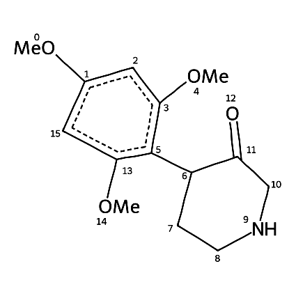 COc1cc(OC)c(C2CCNCC2=O)c(OC)c1